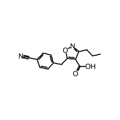 CCCc1noc(Cc2ccc(C#N)cc2)c1C(=O)O